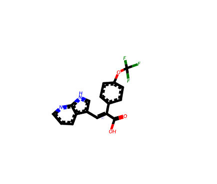 O=C(O)/C(=C/c1c[nH]c2ncccc12)c1ccc(OC(F)(F)F)cc1